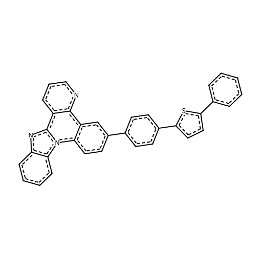 c1ccc(-c2ccc(-c3ccc(-c4ccc5c(c4)c4ncccc4c4nc6ccccc6n54)cc3)s2)cc1